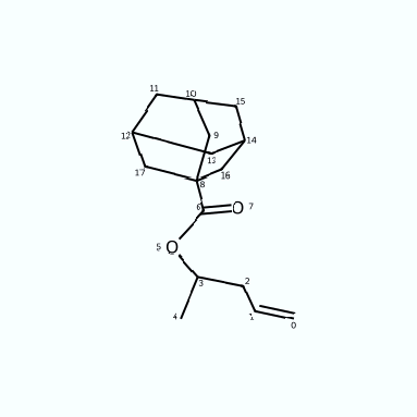 C=CCC(C)OC(=O)C12CC3CC(CC(C3)C1)C2